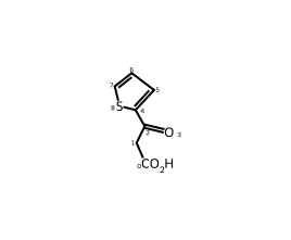 O=C(O)CC(=O)c1cccs1